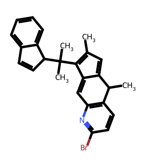 CC1=C(C(C)(C)C2C=Cc3ccccc32)C2=Cc3nc(Br)ccc3C(C)C2=C1